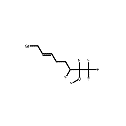 FOC(F)(C(F)CCC=CCBr)C(F)(F)F